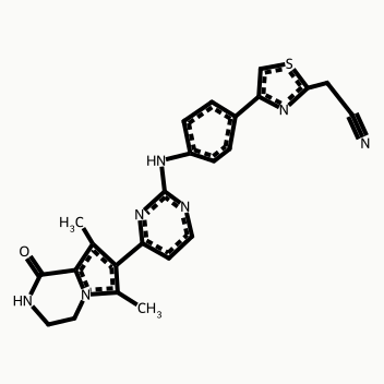 Cc1c(-c2ccnc(Nc3ccc(-c4csc(CC#N)n4)cc3)n2)c(C)n2c1C(=O)NCC2